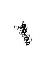 NC(=O)c1cc(F)ccc1-c1cc(Cl)c(C(=O)Nc2cnc(-n3nccn3)c(Cl)c2)cc1F